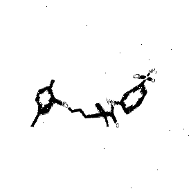 Cc1ccc(C)c(OCCCC(C)(C)C(=O)Nc2cccc(S(N)(=O)=O)c2)c1